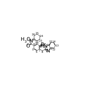 CN(C(=O)c1ccc(Cc2nc3ccccc3[nH]2)c(Br)c1)C1CCCCC1